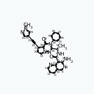 CC(NC(=O)c1c(N)ncc2cccnc12)c1nn2ccc(C#Cc3cnn(C)c3)c2c(=O)n1-c1ccccc1